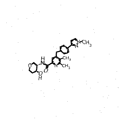 Cc1nc(C(=O)N[C@H]2COCC[C@@H]2O)cc(Cc2ccc(-c3ccn(C)n3)cc2)c1C